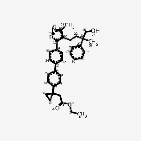 CCOC(=O)CC1(c2ccc(-c3ccc(-c4onc(C)c4CCC(C)(CO)c4ccccc4)cc3)cc2)CC1